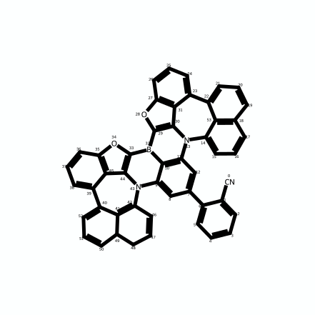 N#Cc1ccccc1-c1cc2c3c(c1)-n1c4cccc5cccc(c6cccc7oc(c1c76)B3c1oc3cccc6c7c8c(n-2c1c36)C=CCC8C=CC=7)c54